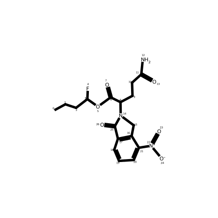 CCCC(F)OC(=O)C(CCC(N)=O)N1Cc2c(cccc2[N+](=O)[O-])C1=O